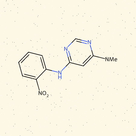 CNc1cc(Nc2ccccc2[N+](=O)[O-])ncn1